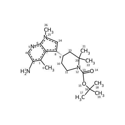 Cc1c(N)cnc2c1c([C@H]1CCN(C(=O)OC(C)(C)C)C(C)(C)C1)cn2C